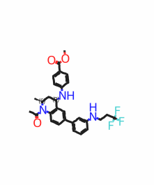 COC(=O)c1ccc(N[C@@H]2C[C@H](C)N(C(C)=O)c3ccc(-c4cccc(NCCC(F)(F)F)c4)cc32)cc1